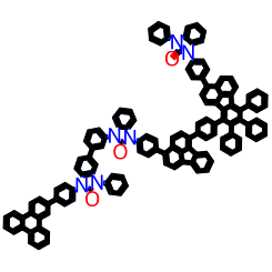 O=c1n(-c2ccccc2)c2ccccc2n1-c1ccc(-c2ccc3c4c(cccc24)-c2c(-c4ccccc4)c(-c4ccccc4)c(-c4ccccc4)c(-c4ccc(-c5ccc6c(-c7ccc(-n8c(=O)n(-c9cccc(-c%10ccc%11c(c%10)n(-c%10ccccc%10)c(=O)n%11-c%10ccc(-c%11ccc%12c%13ccccc%13c%13ccccc%13c%12c%11)cc%10)c9)c9ccccc98)cc7)ccc7c6c5-c5ccccc5-7)cc4)c2-3)cc1